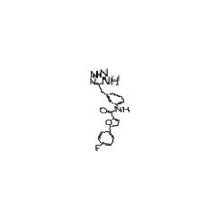 O=C(Nc1cccc(Cc2nnn[nH]2)c1)c1ccc(-c2ccc(F)cc2)o1